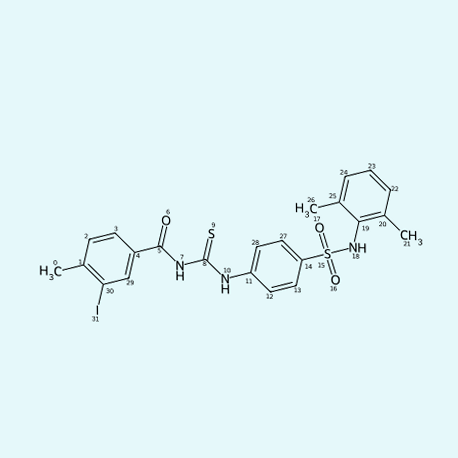 Cc1ccc(C(=O)NC(=S)Nc2ccc(S(=O)(=O)Nc3c(C)cccc3C)cc2)cc1I